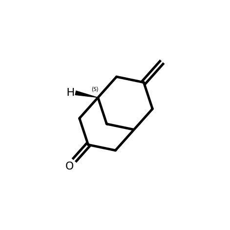 C=C1CC2CC(=O)C[C@H](C1)C2